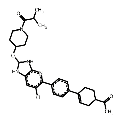 CC(=O)C1CC=C(c2ccc(-c3nc4c(cc3Cl)NC(OC3CCN(C(=O)C(C)C)CC3)N4)cc2)CC1